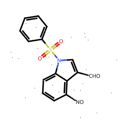 O=Cc1cn(S(=O)(=O)c2ccccc2)c2cccc(N=O)c12